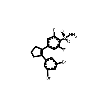 NS(=O)(=O)c1c(F)cc(C2=C(c3cc(Br)cc(Br)c3)CCC2)cc1F